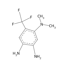 CN(C)c1cc(N)c(N)cc1C(F)(F)F